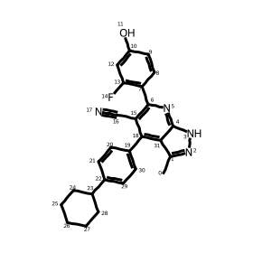 Cc1n[nH]c2nc(-c3ccc(O)cc3F)c(C#N)c(-c3ccc(C4CCCCC4)cc3)c12